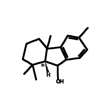 Cc1ccc2c(c1)C1(C)CCCC(C)(C)[C@@H]1C2O